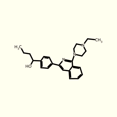 CCCC(O)c1ccc(-c2cc3ccccc3c(N3CCN(CC)CC3)n2)cc1